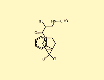 CCC(CNC=O)C(=O)N1CCC2(c3ccccc3)C(C1)C2(Cl)Cl